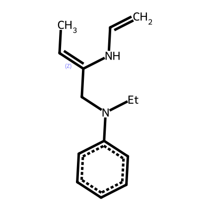 C=CN/C(=C\C)CN(CC)c1ccccc1